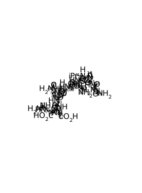 CC(C)C[C@H](NC(=O)[C@@H]1CCCN1C(=O)CNC(=O)[C@@H](N)CC(N)=O)C(=O)N[C@@H](CCC(N)=O)C(=O)N[C@@H](C)C(=O)NCC(=O)N[C@@H](CCC(N)=O)C(=O)N1CCC[C@H]1C(=O)NCC(=O)N[C@@H](CCC(=O)O)C(=O)N[C@@H](CCCNC(=N)N)C(=O)O